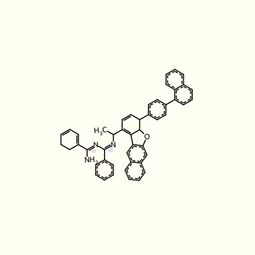 CC(/N=C(\N=C(/N)C1=CC=CCC1)c1ccccc1)C1=C2c3cc4ccccc4cc3OC2C(c2ccc(-c3cccc4ccccc34)cc2)C=C1